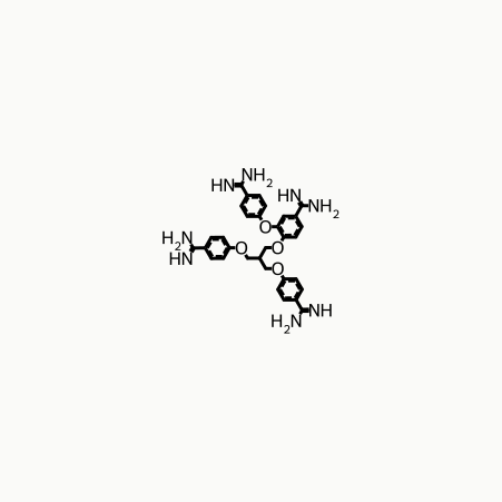 N=C(N)c1ccc(OCC(COc2ccc(C(=N)N)cc2)COc2ccc(C(=N)N)cc2Oc2ccc(C(=N)N)cc2)cc1